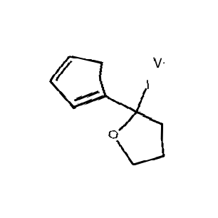 IC1(C2=CC=CC2)CCCO1.[V]